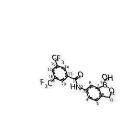 O=C(Nc1ccc2c(c1)B(O)OC2)c1cc(C(F)(F)F)cc(C(F)(F)F)c1